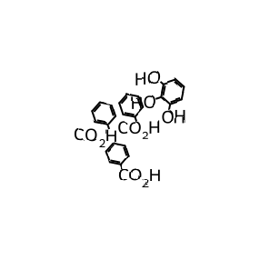 O=C(O)c1ccccc1.O=C(O)c1ccccc1.O=C(O)c1ccccc1.Oc1cccc(O)c1O